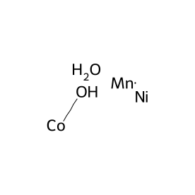 O.[Mn].[Ni].[OH][Co]